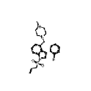 C=CCS(=O)(=O)n1ccc2c(CN3CCN(C)CC3)cccc21.Fc1ccccc1